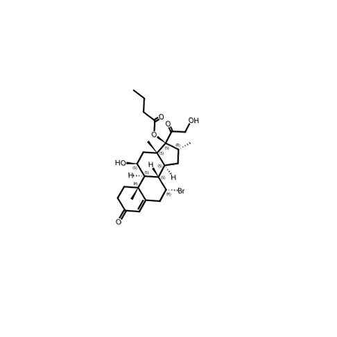 CCCC(=O)O[C@@]1(C(=O)CO)[C@H](C)C[C@H]2[C@H]3[C@H]([C@@H](O)C[C@@]21C)[C@@]1(C)CCC(=O)C=C1C[C@H]3Br